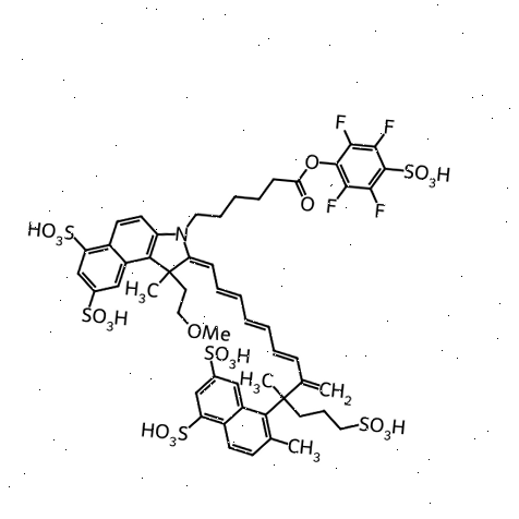 C=C(/C=C/C=C/C=C/C=C1/N(CCCCCC(=O)Oc2c(F)c(F)c(S(=O)(=O)O)c(F)c2F)c2ccc3c(S(=O)(=O)O)cc(S(=O)(=O)O)cc3c2C1(C)CCOC)C(C)(CCCS(=O)(=O)O)c1c(C)ccc2c(S(=O)(=O)O)cc(S(=O)(=O)O)cc12